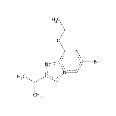 CCOc1nc(Br)cn2cc(C(C)C)nc12